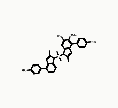 COc1c(C(C)(C)C)cc2c(c1-c1ccc(C(C)(C)C)cc1)C=C(C)C2[Si](C)(C)C1C(C)=Cc2c(-c3ccc(C(C)(C)C)cc3)cccc21